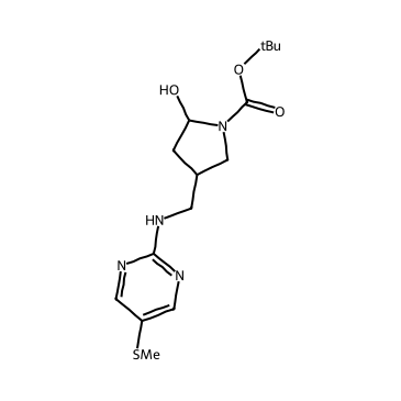 CSc1cnc(NCC2CC(O)N(C(=O)OC(C)(C)C)C2)nc1